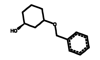 O[C@H]1CCCC(OCc2ccccc2)C1